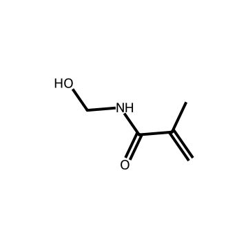 C=C(C)C(=O)NCO